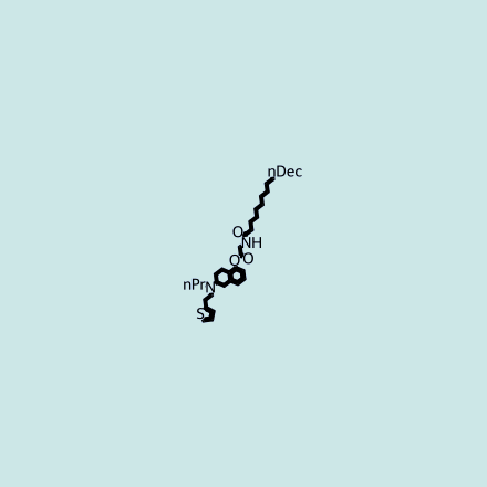 CCCCCCCCCCCCCCCCCCCC(=O)NCC(=O)Oc1cccc2c1CCC(N(CCC)CCc1cccs1)C2